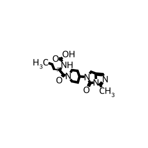 CCC[C@@H](NC(=O)O)C(=O)N1CCC(N2Cc3cnc(C)n3C2=O)CC1